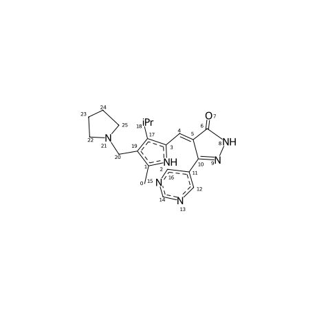 Cc1[nH]c(/C=C2/C(=O)NN=C2c2cncnc2)c(C(C)C)c1CN1CCCC1